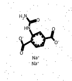 NC(=O)Nc1cc(C(=O)[O-])ccc1C(=O)[O-].[Na+].[Na+]